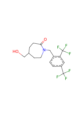 O=C1CCC(CO)CCN1Cc1ccc(C(F)(F)F)cc1C(F)(F)F